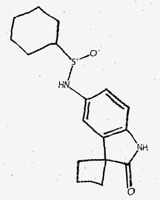 O=C1Nc2ccc(N[S+]([O-])C3CCCCC3)cc2C12CCC2